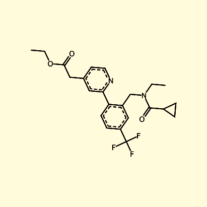 CCOC(=O)Cc1ccnc(-c2ccc(C(F)(F)F)cc2CN(CC)C(=O)C2CC2)c1